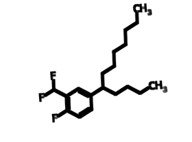 CCCCCCCC(CCCC)c1ccc(F)c(C(F)F)c1